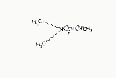 CCCCCCCCCCN(CCCCCCCCCC)c1ccc(/C=C/c2cc[n+](CC)cc2)c(F)c1